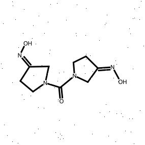 O=C(N1CCC(=NO)C1)N1CCC(=NO)C1